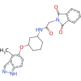 Cc1c(OC2CCCC(NC(=O)CN3C(=O)c4ccccc4C3=O)C2)ccc2[nH]ncc12